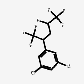 FC(CC(c1[c]c(Cl)cc(Cl)c1)C(F)(F)F)C(F)(F)F